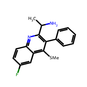 CSc1c(-c2ccccc2)c(C(C)N)nc2ccc(F)cc12